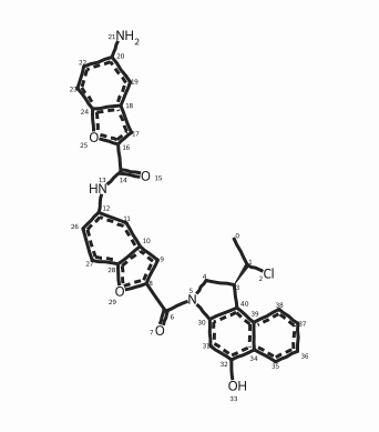 CC(Cl)[C@@H]1CN(C(=O)c2cc3cc(NC(=O)c4cc5cc(N)ccc5o4)ccc3o2)c2cc(O)c3ccccc3c21